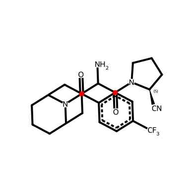 N#C[C@@H]1CCCN1C(=O)C(N)C1CC2CCCC(C1)N2C(=O)c1ccc(C(F)(F)F)cc1